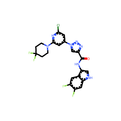 O=C(Nc1c[nH]c2cc(F)c(F)cc12)c1cn(-c2cc(Cl)nc(N3CCC(F)(F)CC3)c2)nn1